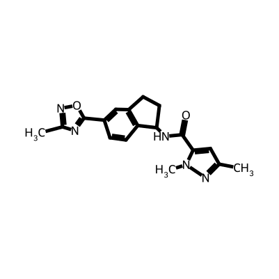 Cc1cc(C(=O)NC2CCc3cc(-c4nc(C)no4)ccc32)n(C)n1